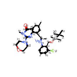 Cc1cc([C@@H](C)Nc2cccc(F)c2CO[Si](C)(C)C(C)(C)C)c2nc(N3CCOCC3)n(C)c(=O)c2c1